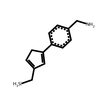 NCc1ccc(C2=CC(C[SiH3])=CC2)cc1